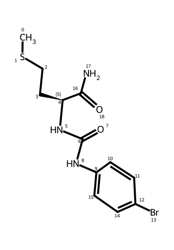 CSCC[C@H](NC(=O)Nc1ccc(Br)cc1)C(N)=O